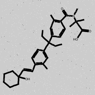 CCC(CC)(c1ccc(/C=C/C2(O)CCCCC2)c(C)c1)c1ccc(C(=O)N(C)C(C)(C)C(=O)O)c(C)c1